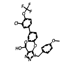 COc1ccc(Cn2nnc(C(=O)O)c2Oc2ccc(-c3ccc(OC(F)(F)F)c(Cl)c3)cc2)cc1